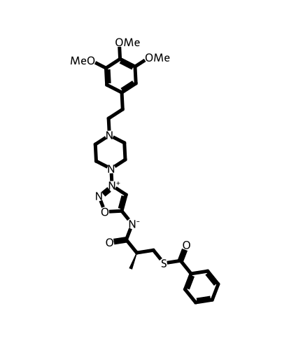 COc1cc(CCN2CCN([n+]3cc([N-]C(=O)[C@H](C)CSC(=O)c4ccccc4)on3)CC2)cc(OC)c1OC